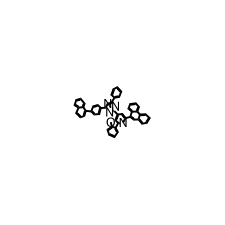 c1ccc(-c2nc(-c3ccc(-c4cccc5ccccc45)cc3)nc(-c3cc(-c4cc5ccccc5c5ccccc45)nc4c3oc3ccccc34)n2)cc1